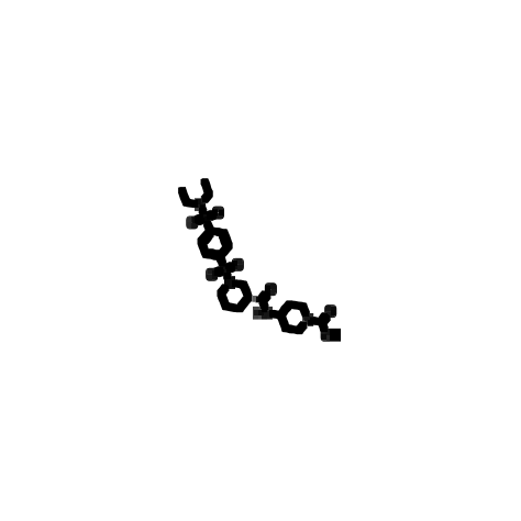 CCN(CC)S(=O)(=O)c1ccc(S(=O)(=O)N2CCC[C@@H](C(=O)NC3CCN(C(=O)O)CC3)C2)cc1